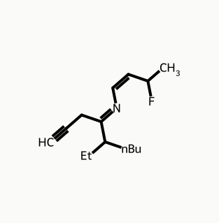 C#CC/C(=N\C=C/C(C)F)C(CC)CCCC